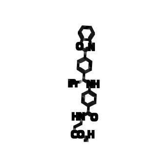 CC(C)[C@@H](Nc1ccc(C(=O)NCCC(=O)O)cc1)c1ccc(-c2nc3ccccc3o2)cc1